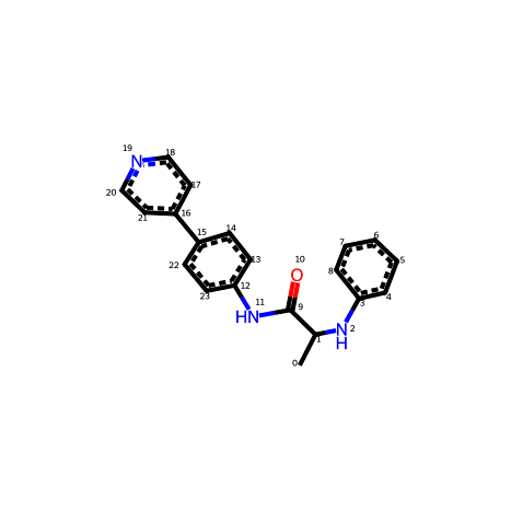 CC(Nc1ccccc1)C(=O)Nc1ccc(-c2ccncc2)cc1